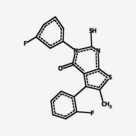 Cc1sc2nc(S)n(-c3cccc(F)c3)c(=O)c2c1-c1ccccc1F